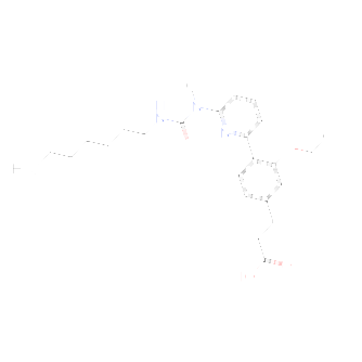 CCCCCCCNC(=O)N(C)c1cccc(-c2ccc(CCC(=O)O)cc2OCC)n1